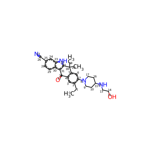 CCc1cc2c(cc1N1CCC(NCCO)CC1)C(C)(C)c1[nH]c3cc(C#N)ccc3c1C2=O